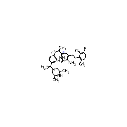 C=C(Nc1ccc(C(=C)N2CC(C)NC(C)C2)cc1)/C(N)=C/C(CCc1c(C)ccc(F)c1Cl)=C(N)N